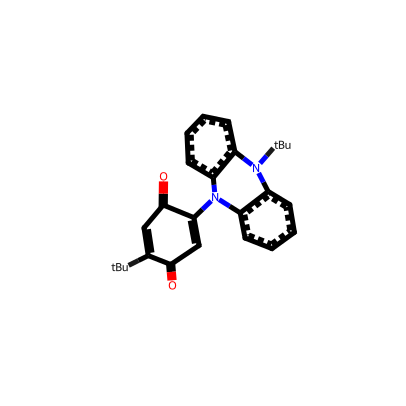 CC(C)(C)C1=CC(=O)C(N2c3ccccc3N(C(C)(C)C)c3ccccc32)=CC1=O